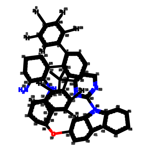 [2H]c1c([2H])c([2H])c(-c2cccc(-c3c([2H])c([2H])c([2H])c([2H])c3[2H])c2-c2cccc(N)c2Nc2cccc(Oc3ccc4c5ccccc5n(-c5nccc(C(C)(C)C)n5)c4c3)c2)c([2H])c1[2H]